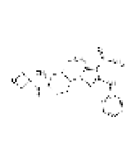 CC1(N[C@H]2CCC(n3cc(C(N)=O)c(Nc4ccccc4)n3)[C@@H](CN)C2)COC1